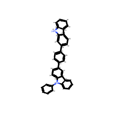 c1ccc(-n2c3ccccc3c3cc(-c4ccc(-c5ccc6c(c5)[nH]c5ccccc56)cc4)ccc32)cc1